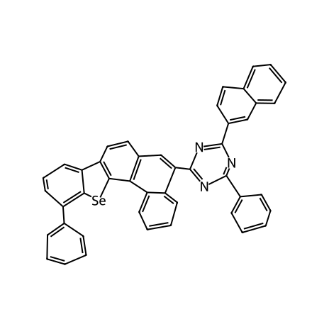 c1ccc(-c2nc(-c3ccc4ccccc4c3)nc(-c3cc4ccc5c6cccc(-c7ccccc7)c6[se]c5c4c4ccccc34)n2)cc1